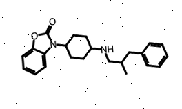 CC(CNC1CCC(n2c(=O)oc3ccccc32)CC1)Cc1ccccc1